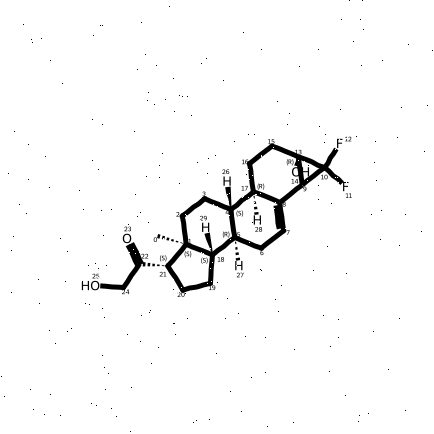 C[C@]12CC[C@H]3[C@@H](CC=C4C5C(F)(F)[C@@]5(O)CC[C@@H]43)[C@@H]1CC[C@@H]2C(=O)CO